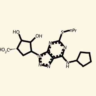 CCCSc1nc(NC2CCCC2)c2nnn(C3C[C@H](C(=O)O)C(O)C3O)c2n1